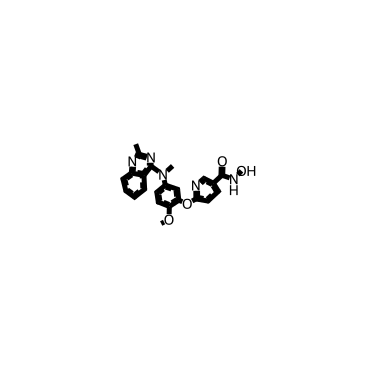 COc1ccc(N(C)c2nc(C)nc3ccccc23)cc1Oc1ccc(C(=O)NO)cn1